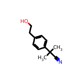 CC(C)(C#N)c1ccc(CCO)cc1